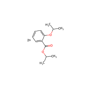 CC(C)OC(=O)c1ccccc1OC(C)C.[Zn]